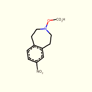 O=C(O)ON1CCc2ccc([N+](=O)[O-])cc2CC1